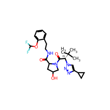 CC(C)(C)[C@@H](C(=O)N1CC(O)CC1C(=O)NCCc1ccccc1OC(F)F)n1cc(C2CC2)nn1